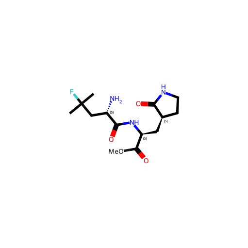 COC(=O)[C@H](C[C@@H]1CCNC1=O)NC(=O)[C@@H](N)CC(C)(C)F